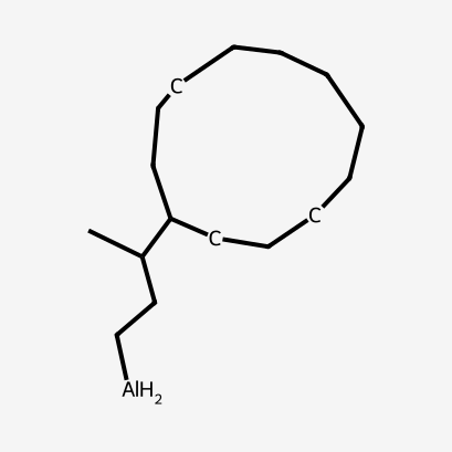 CC(C[CH2][AlH2])C1CCCCCCCCCCC1